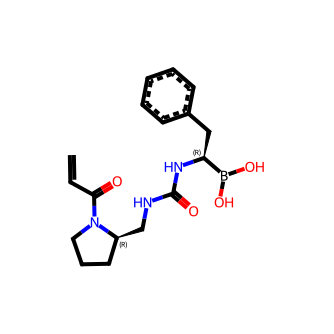 C=CC(=O)N1CCC[C@@H]1CNC(=O)N[C@@H](Cc1ccccc1)B(O)O